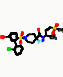 C[C@H](/C=C\S(C)(=O)=O)NC(=O)C1(F)CCN(S(=O)(=O)c2ccc(O)cc2-c2ccccc2Cl)CC1